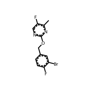 Cc1nc(OCc2ccc(F)c(Br)c2)ncc1F